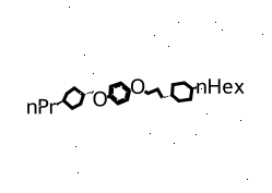 CCCCCC[C@H]1CC[C@H](CCCOc2ccc(OC[C@H]3CC[C@H](CCC)CC3)cc2)CC1